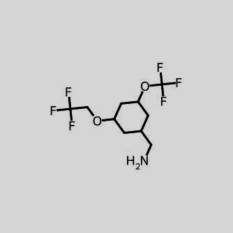 NCC1CC(OCC(F)(F)F)CC(OC(F)(F)F)C1